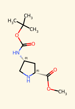 COC(=O)[C@H]1C[C@@H](NC(=O)OC(C)(C)C)CN1